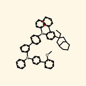 CCC1(c2ccc(N(c3ccccc3)c3ccc(-c4cccc(N(c5ccccc5)c5ccc(-c6ccccc6OC)cc5)c4)cc3)c(-c3ccccc3)c2)CC2CCCC(C2)C1